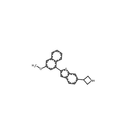 COc1cc(-c2cc3ccc(C4CNC4)cc3s2)c2ccccc2c1